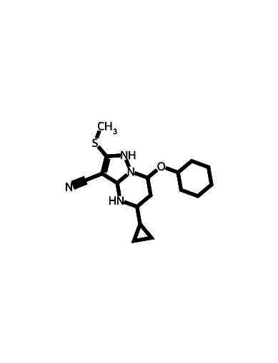 CSC1=C(C#N)C2NC(C3CC3)CC(OC3CCCCC3)N2N1